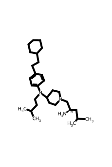 CC(C)CCN(c1ccc(CCC2CCCCC2)cc1)C1CCN(C[C@H](N)CC(C)C)CC1